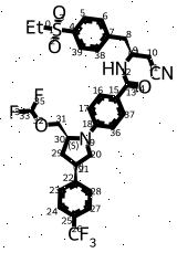 CCS(=O)(=O)c1ccc(C[C@@H](CC#N)NC(=O)c2ccc(N3C[C@@H](c4ccc(C(F)(F)F)cc4)C[C@H]3COC(F)F)cc2)cc1